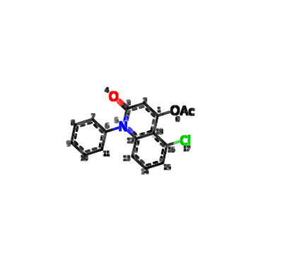 CC(=O)Oc1cc(=O)n(-c2ccccc2)c2cccc(Cl)c12